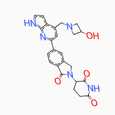 O=C1CCC(N2Cc3cc(-c4cc(CN5CC(O)C5)c5cc[nH]c5n4)ccc3C2=O)C(=O)N1